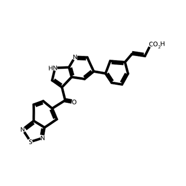 O=C(O)C=Cc1cccc(-c2cnc3[nH]cc(C(=O)c4ccc5nsnc5c4)c3c2)c1